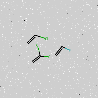 C=C(Cl)Cl.C=CCl.C=CF